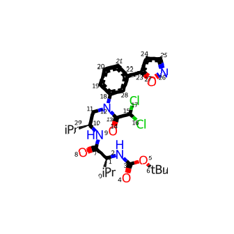 CC(C)[C@H](NC(=O)OC(C)(C)C)C(=O)N[C@H](CN(C(=O)C(Cl)Cl)c1cccc(-c2ccno2)c1)C(C)C